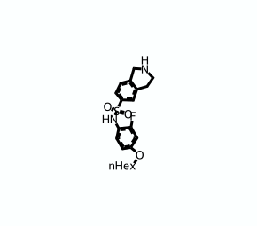 CCCCCCOc1ccc(NS(=O)(=O)c2ccc3c(c2)CCNC3)c(F)c1